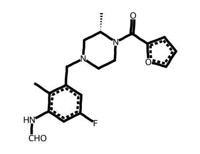 Cc1c(CN2CCN(C(=O)c3ccco3)[C@@H](C)C2)cc(F)cc1NC=O